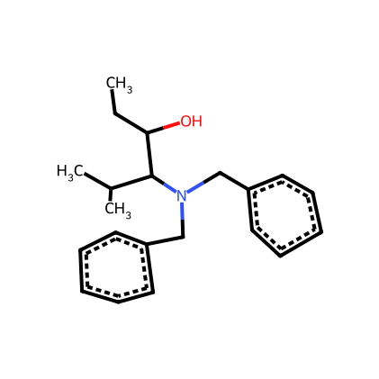 CCC(O)C(C(C)C)N(Cc1ccccc1)Cc1ccccc1